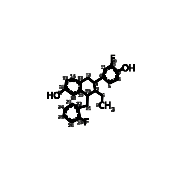 CCC1C(c2ccc(O)c(F)c2)Cc2ccc(O)cc2C1Cc1ccccc1F